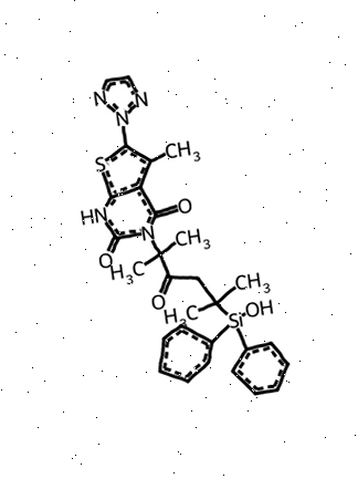 Cc1c(-n2nccn2)sc2[nH]c(=O)n(C(C)(C)C(=O)CC(C)(C)[Si](O)(c3ccccc3)c3ccccc3)c(=O)c12